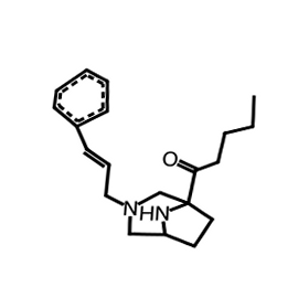 CCCCC(=O)C12CCC(CN(C/C=C/c3ccccc3)C1)N2